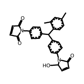 Cc1ccc(C(c2ccc(N3C(=O)C=CC3=O)cc2)c2ccc(N3C(=O)C=CC3O)cc2)c(C)c1